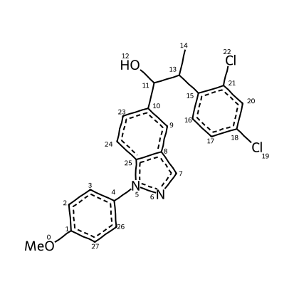 COc1ccc(-n2ncc3cc(C(O)C(C)c4ccc(Cl)cc4Cl)ccc32)cc1